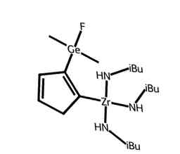 CCC(C)[NH][Zr]([NH]C(C)CC)([NH]C(C)CC)[C]1=[C]([Ge]([CH3])([CH3])[F])C=CC1